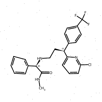 CNC(=O)[C@H](NCC[C@@H](c1ccc(C(F)(F)F)cc1)c1cccc(Cl)n1)c1ccccc1